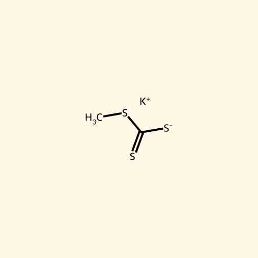 CSC(=S)[S-].[K+]